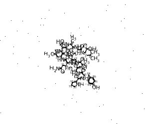 CC(C)C[C@H](NC(=O)[C@H](CS)NC(=O)[C@H](C)NC(=O)[C@H](CO)NC(=O)[C@H](CC(C)C)NC(=O)[C@H](CCC(N)=O)NC(=O)CNC(=O)[C@H](C)NC(=O)[C@H](CO)NC(=O)[C@H](Cc1ccc(O)cc1)NC(=O)[C@@H]1CCCN1)C(=O)O